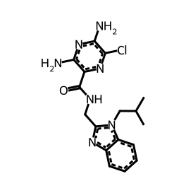 CC(C)Cn1c(CNC(=O)c2nc(Cl)c(N)nc2N)nc2ccccc21